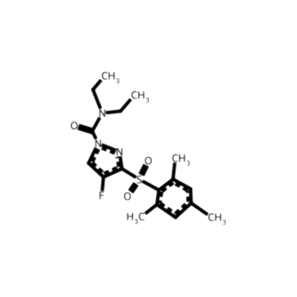 CCN(CC)C(=O)n1cc(F)c(S(=O)(=O)c2c(C)cc(C)cc2C)n1